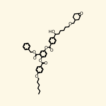 CCCCCCOc1ccc(C(=O)Oc2ccc(OC(=O)c3ccc(C(O)CCCCCOCC4CCC5OC5C4)cc3)cc2C(=O)OCc2ccccc2)cc1